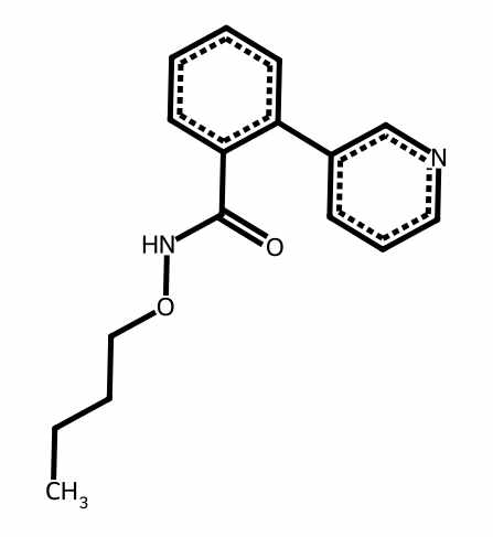 CCCCONC(=O)c1ccccc1-c1cccnc1